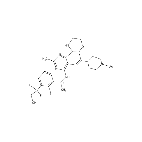 CC(=O)N1CCC(c2cc3c(N[C@H](C)c4cccc(C(F)(F)CO)c4F)nc(C)nc3c3c2OCCN3)CC1